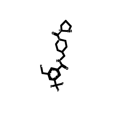 O=C(NCC1CCN(C(=O)[C@H]2CCCN2)CC1)c1cc(CF)cc(C(F)(F)F)c1